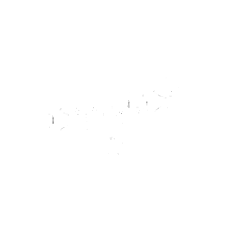 O=C(NCCN(CCN1CCCC1)C(=O)Nc1ccc(C(F)(F)F)cc1)Nc1ccccc1